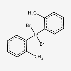 Cc1ccccc1[Te](Br)(Br)c1ccccc1C